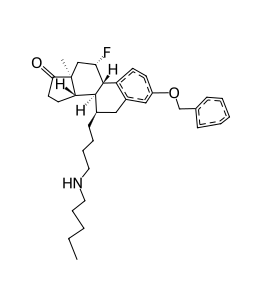 CCCCCNCCCC[C@@H]1Cc2cc(OCc3ccccc3)ccc2[C@@H]2[C@@H]1[C@@H]1CCC(=O)[C@@]1(C)C[C@@H]2F